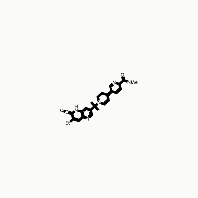 CCC1=Cc2ncc(C(C)(C)N3C=CC(=C4C=CC(C(=O)NC)N=C4)CC3)cc2NC1=C=O